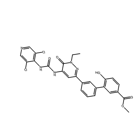 CCn1nc(-c2cccc(-c3cc(C(=O)OC)ccc3O)c2)cc(NC(=O)Nc2c(Cl)cncc2Cl)c1=O